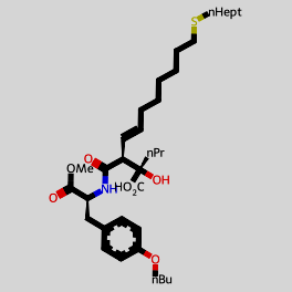 CCCCCCCSCCCCCCC=C[C@H](C(=O)N[C@@H](Cc1ccc(OCCCC)cc1)C(=O)OC)[C@@](O)(CCC)C(=O)O